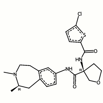 C[C@@H]1Cc2ccc(NC(=O)[C@]3(NC(=O)c4ccc(Cl)s4)CCOC3)cc2CCN1C